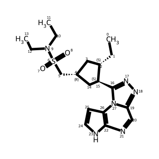 CC[C@H]1C[C@@H](CS(=O)(=O)N(CC)CC)C[C@@H]1c1nnc2cnc3[nH]ccc3n12